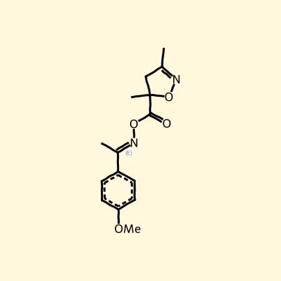 COc1ccc(/C(C)=N/OC(=O)C2(C)CC(C)=NO2)cc1